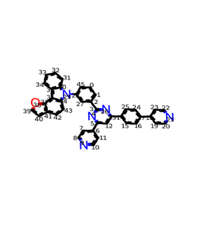 c1cc(-c2nc(-c3ccncc3)cc(-c3ccc(-c4ccncc4)cc3)n2)cc(-n2c3ccccc3c3c4occc4ccc32)c1